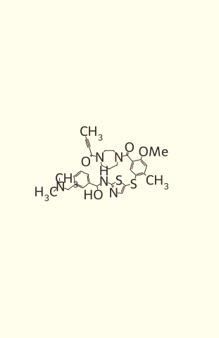 CC#CC(=O)N1CCCN(C(=O)c2cc(Sc3cnc(NC(O)c4cccc(CN(C)C)c4)s3)c(C)cc2OC)CC1